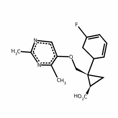 Cc1ncc(OC[C@@]2(C3C=CC=C(F)C3)C[C@H]2C(=O)O)c(C)n1